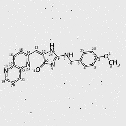 COc1ccc(CNC2=NC(=O)C(=Cc3ccc4ncccc4n3)N2)cc1